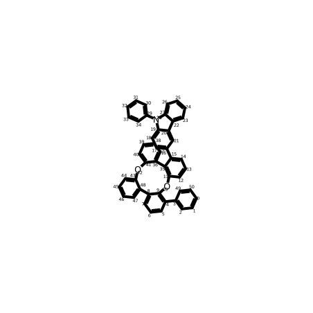 c1ccc(-c2cccc3c2Oc2cccc(-c4ccc5c(c4)c4ccccc4n5-c4ccccc4)c2-c2ccccc2Oc2ccccc2-3)cc1